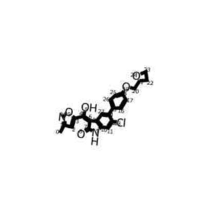 Cc1cc(C(O)=C2C(=O)Nc3cc(Cl)c(-c4ccc(OCC5CCO5)cc4)cc32)on1